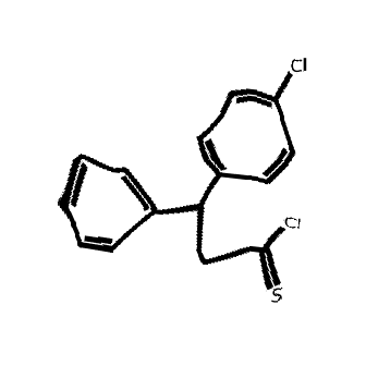 S=C(Cl)CC(c1ccccc1)c1ccc(Cl)cc1